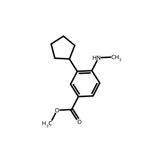 CNc1ccc(C(=O)OC)cc1C1CCCC1